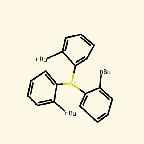 CCCCc1ccccc1[S+](c1ccccc1CCCC)c1ccccc1CCCC